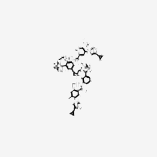 Cc1cc(F)c(C(=O)Nc2cccc3c2O[C@]2(CC2c2cc(NC(=O)c4cc(-n5cnc(C6CC6)c5)c(N(C)C)cn4)c4c(c2)-c2nnnn2CCO4)Cn2nnnc2-3)cc1-n1cnc(C2CC2)c1